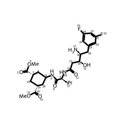 COC(=O)[C@@H]1CC(NC(=O)[C@@H](NC(=O)C[C@H](O)[C@@H](N)Cc2cc(F)cc(F)c2)C(C)C)C[C@H](C(=O)OC)C1